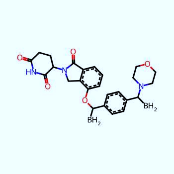 BC(Oc1cccc2c1CN(C1CCC(=O)NC1=O)C2=O)c1ccc(C(B)N2CCOCC2)cc1